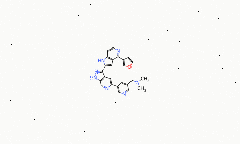 CN(C)Cc1cncc(-c2cc3c(-c4cc5c(-c6ccoc6)nccc5[nH]4)n[nH]c3cn2)c1